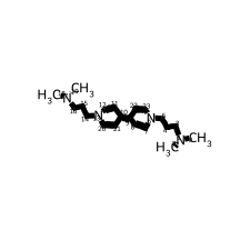 CN(C)CCCN1C=CC(=C2C=CN(CCCN(C)C)C=C2)C=C1